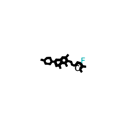 Cc1cc(CCc2c(C)cc3cc(C4CCC(C)CC4)cc(C)c3c2C)cc(F)c1C